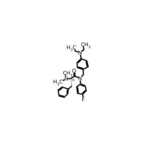 CCN(CC)c1ccc(CN(C(=O)[C@H](Cc2ccccc2)N(C)C)c2ccc(F)cc2)cc1